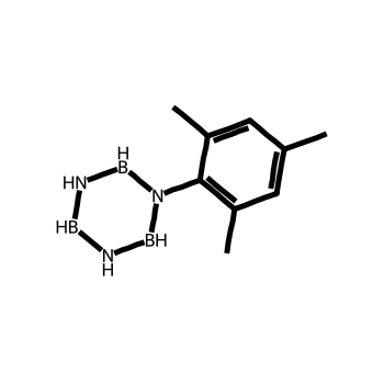 Cc1cc(C)c(N2BNBNB2)c(C)c1